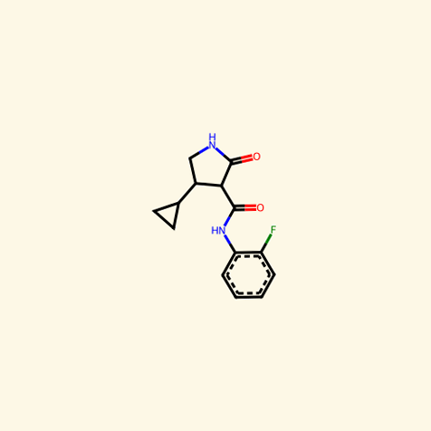 O=C1NCC(C2CC2)C1C(=O)Nc1ccccc1F